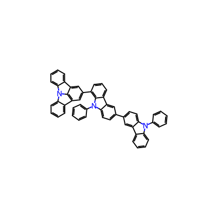 c1ccc(-n2c3ccccc3c3cc(-c4ccc5c(c4)c4cccc(-c6cc7c8ccccc8n8c9ccccc9c(c6)c78)c4n5-c4ccccc4)ccc32)cc1